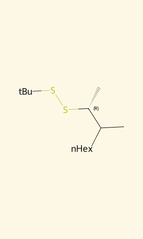 CCCCCCC(C)[C@@H](C)SSC(C)(C)C